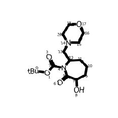 CC(C)(C)OC(=O)N1C(=O)C(O)CCCC1CN1CCOCC1